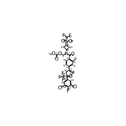 COC(=O)OCN(C(=O)c1ccc(C2=NO[C@@](c3cc(Cl)c(F)c(Cl)c3)(C(F)(F)F)C2)cc1C)C1CN(S(=O)(=O)C(F)F)C1